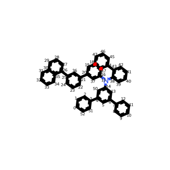 c1ccc(-c2cc(-c3ccccc3)cc(N(c3cccc(-c4cccc(-c5cccc6ccccc56)c4)c3)c3ccccc3-c3ccccc3)c2)cc1